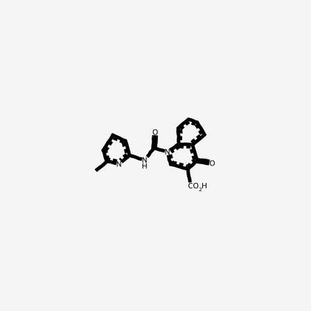 Cc1cccc(NC(=O)n2cc(C(=O)O)c(=O)c3ccccc32)n1